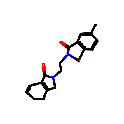 Cc1ccc2sn(CCn3sc4c(c3=O)C=CCC4)c(=O)c2c1